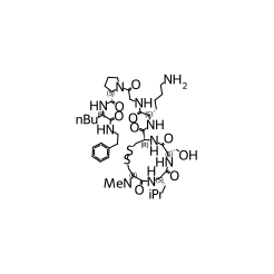 CCCC[C@@H](NC(=O)[C@@H]1CCCN1C(=O)CNC(=O)[C@H](CCCCN)NC(=O)[C@@H]1CSSC[C@H](NC)C(=O)N[C@@H](CC(C)C)C(=O)N[C@@H](CO)C(=O)N1)C(=O)NCCc1ccccc1